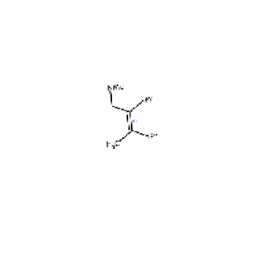 CNC/C(=C(\C)C(C)C)C(C)C